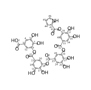 O=C(O)c1cc(O)c(O)c(OC(=O)c2cc(O)c(O)c(OC(=O)c3cc(O)c(O)c(OC(=O)c4cc(O)c(O)c(OC(=O)c5ccc[nH]5)c4)c3)c2)c1